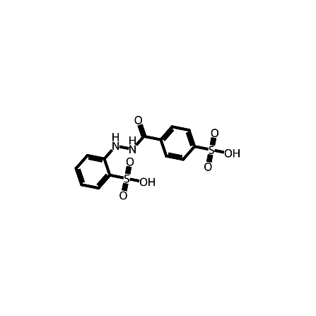 O=C(NNc1ccccc1S(=O)(=O)O)c1ccc(S(=O)(=O)O)cc1